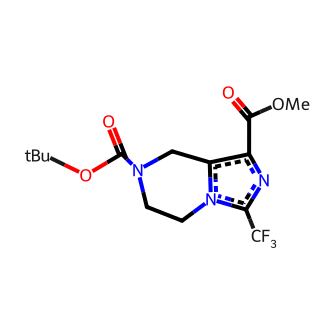 COC(=O)c1nc(C(F)(F)F)n2c1CN(C(=O)OC(C)(C)C)CC2